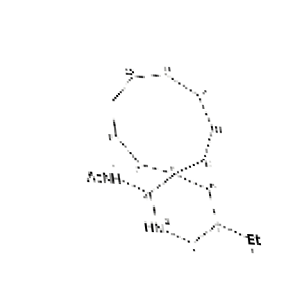 CCC1CNC(NC(C)=O)C2(CCCCCCCC2)C1